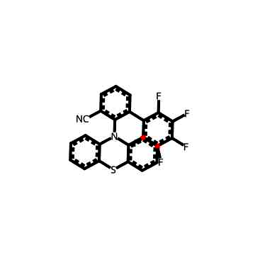 N#Cc1cccc(-c2c(F)c(F)c(F)c(F)c2F)c1N1c2ccccc2Sc2ccccc21